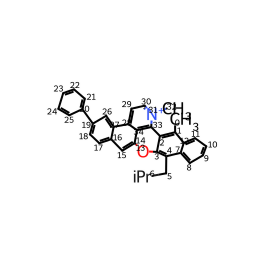 Cc1c2c(c(CC(C)C)c3ccccc13)Oc1cc3ccc(-c4ccccc4)cc3c3cc[n+](C)c-2c13